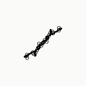 C=CC(=O)OCCCCOCC(COc1ccc(C(=O)OC2CCC(OC(=O)c3ccc(OCC(COCCCCOC(=O)C=C)OC(=O)C=C)cc3)CC2)cc1)OC(=O)C=C